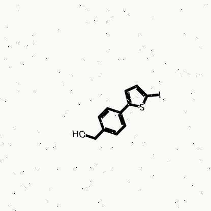 OCc1ccc(-c2ccc(I)s2)cc1